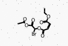 CCOC(=O)/C=C\C(=O)OC(Br)C(=O)OC(C)=O